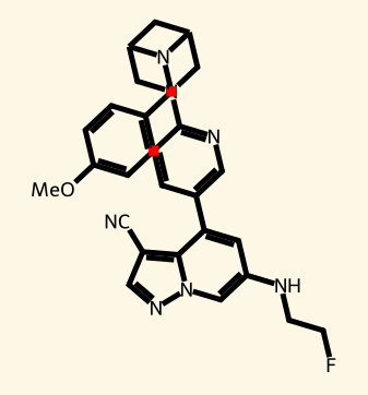 COc1ccc(CN2C3CC2CN(c2ccc(-c4cc(NCCF)cn5ncc(C#N)c45)cn2)C3)cc1